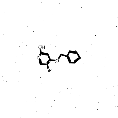 CC(C)c1cnc(O)cc1OCc1ccccc1